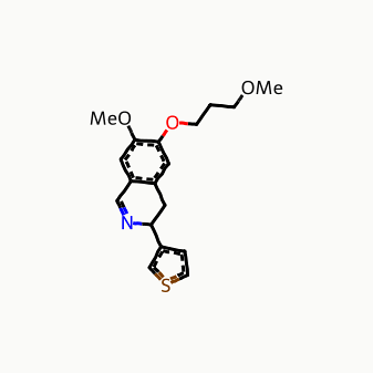 COCCCOc1cc2c(cc1OC)C=NC(c1ccsc1)C2